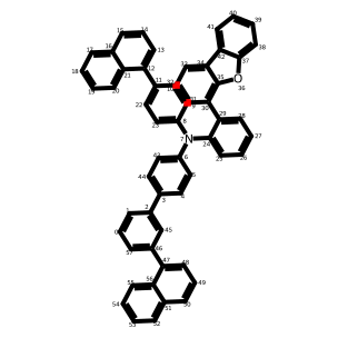 c1cc(-c2ccc(N(c3ccc(-c4cccc5ccccc45)cc3)c3ccccc3-c3cccc4c3oc3ccccc34)cc2)cc(-c2cccc3ccccc23)c1